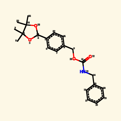 CC1(C)OB(c2ccc(COC(=O)NCc3ccccc3)cc2)OC1(C)C